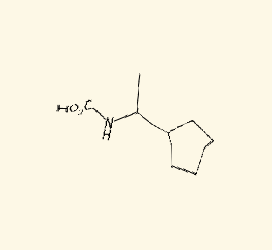 CC(NC(=O)O)C1CCCC1